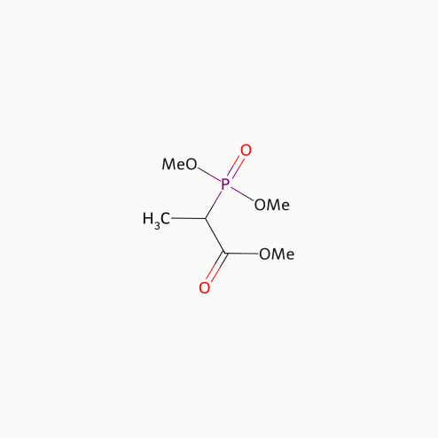 COC(=O)C(C)P(=O)(OC)OC